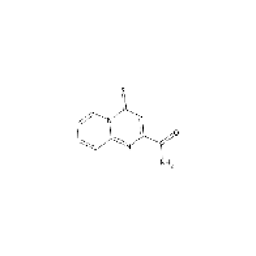 NC(=O)c1cc(=S)n2ccccc2n1